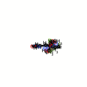 COC(=O)N[C@H](C(=O)N[C@@H](Cc1ccc(C#Cc2ccc(N3C[C@H]4C[C@@H]3CN4C3COC3)nc2)cc1)[C@@H](O)CN(Cc1c(F)cc(-c2cccc(F)c2)cc1F)NC(=O)[C@@H](NC(=O)OC)C(C)(C)C(F)(F)F)C(C)(C)C(F)(F)F